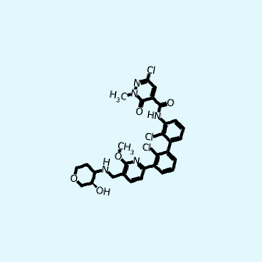 COc1nc(-c2cccc(-c3cccc(NC(=O)c4cc(Cl)nn(C)c4=O)c3Cl)c2Cl)ccc1CNC1CCOC[C@@H]1O